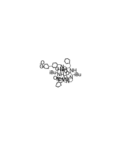 CCC(C)C(NC(=O)OC)C(=O)NN(Cc1ccc(-c2ccc3c(c2)OCO3)cc1)CC(O)C(Cc1ccccc1)NC(=O)C(C(C)CC)N1CCN(Cc2ccnc3ccccc23)C1=O